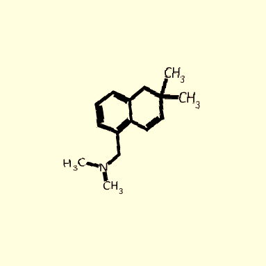 CN(C)Cc1cccc2c1C=CC(C)(C)C2